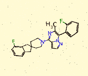 Cc1nc(N2CCC3(CC2)Cc2cccc(F)c2C3)c2ccnn2c1-c1ccccc1F